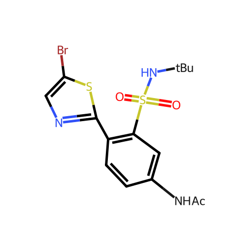 CC(=O)Nc1ccc(-c2ncc(Br)s2)c(S(=O)(=O)NC(C)(C)C)c1